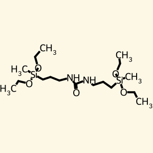 CCO[Si](C)(CCCNC(=O)NCCC[Si](C)(OCC)OCC)OCC